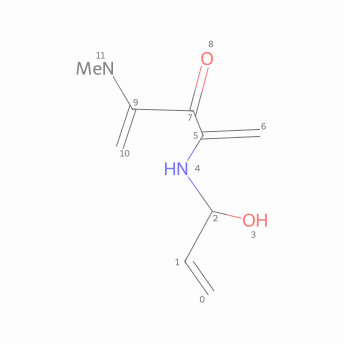 C=CC(O)NC(=C)C(=O)C(=C)NC